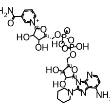 NC(=O)c1ccc[n+]([C@@H]2O[C@H](COP(=O)(O)OP(=O)(O)OC[C@H]3O[C@@H](n4c(N5CCCCC5)nc5c(N)ccnc54)C(O)[C@H]3O)C(O)C2O)c1